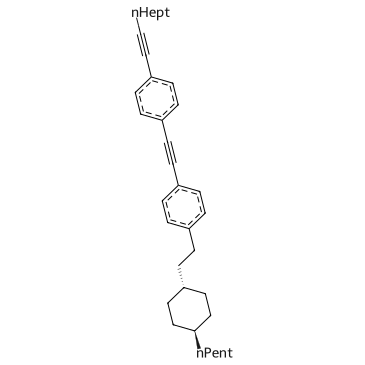 CCCCCCCC#Cc1ccc(C#Cc2ccc(CC[C@H]3CC[C@H](CCCCC)CC3)cc2)cc1